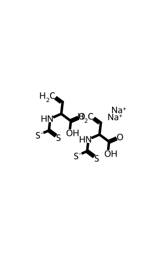 C=CC(NC(=S)[S-])C(=O)O.C=CC(NC(=S)[S-])C(=O)O.[Na+].[Na+]